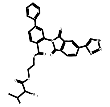 CC(C)C(N)C(=O)OCCOC(=O)c1ccc(-c2ccccc2)cc1N1C(=O)c2ccc(-c3c[nH]nn3)cc2C1=O